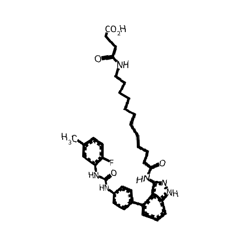 Cc1ccc(F)c(NC(=O)Nc2ccc(-c3cccc4[nH]nc(NC(=O)CCCCCCCCCCCNC(=O)CCC(=O)O)c34)cc2)c1